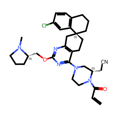 C=CC(=O)N1CCN(c2nc(OC[C@@H]3CCCN3C)nc3c2CC[C@@]2(CCCc4ccc(Cl)cc42)C3)C[C@@H]1CC#N